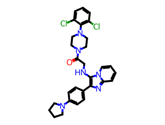 O=C(CNc1c(-c2ccc(N3CCCC3)cc2)nc2ccccn12)N1CCN(c2c(Cl)cccc2Cl)CC1